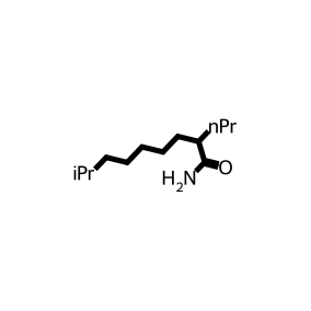 CCCC(CCCCCC(C)C)C(N)=O